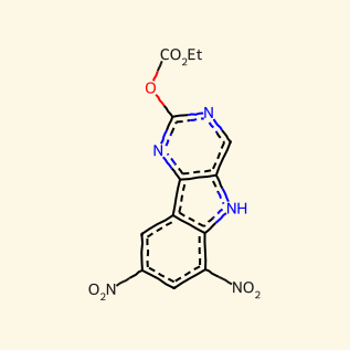 CCOC(=O)Oc1ncc2[nH]c3c([N+](=O)[O-])cc([N+](=O)[O-])cc3c2n1